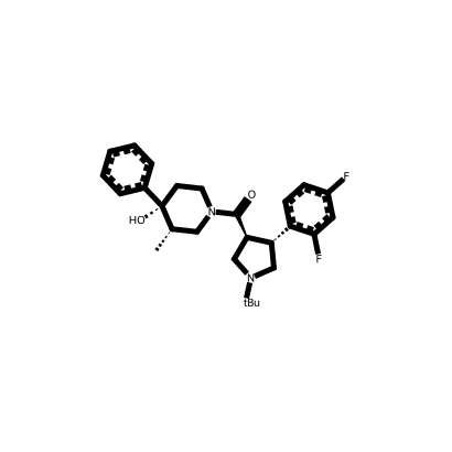 C[C@H]1CN(C(=O)[C@@H]2CN(C(C)(C)C)C[C@H]2c2ccc(F)cc2F)CC[C@]1(O)c1ccccc1